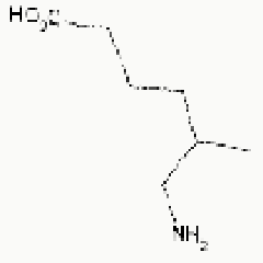 CC(CN)CCCC(=O)O